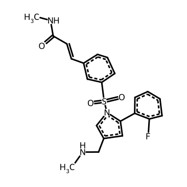 CNCc1cc(-c2ccccc2F)n(S(=O)(=O)c2cccc(/C=C/C(=O)NC)c2)c1